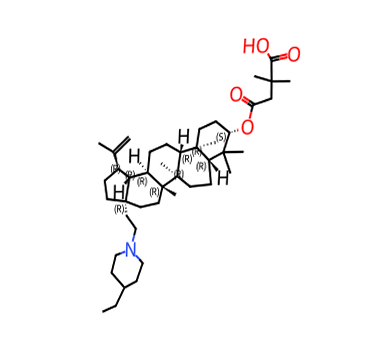 C=C(C)[C@@H]1CC[C@]2(CCN3CCC(CC)CC3)CC[C@]3(C)[C@H](CC[C@@H]4[C@@]5(C)CC[C@H](OC(=O)CC(C)(C)C(=O)O)C(C)(C)[C@@H]5CC[C@]43C)[C@@H]12